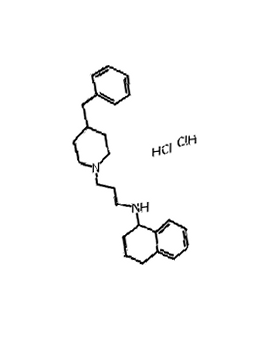 Cl.Cl.c1ccc(CC2CCN(CCCNC3CCCc4ccccc43)CC2)cc1